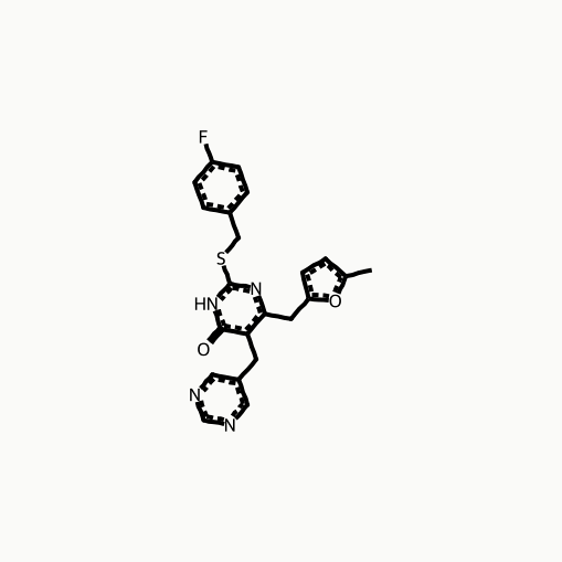 Cc1ccc(Cc2nc(SCc3ccc(F)cc3)[nH]c(=O)c2Cc2cncnc2)o1